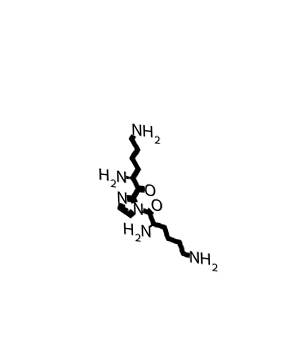 NCCCC[C@H](N)C(=O)c1nccn1C(=O)[C@@H](N)CCCCN